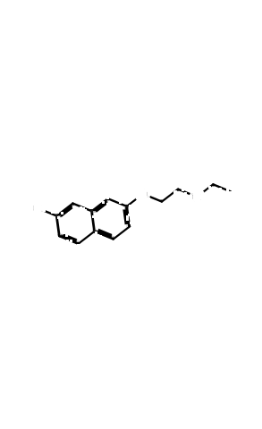 CCOCCOc1ccc2ccc([O])cc2c1